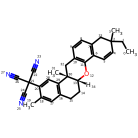 CCC1(C)C=Cc2c(ccc3c2O[C@@H]2CCc4cc(C)c(C(C#N)(C#N)C#N)cc4[C@]2(C)C3)C1